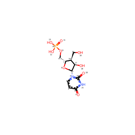 O=c1ccn([C@@H]2O[C@H](COP(=O)(O)O)[C@@H](CO)[C@H]2O)c(=O)[nH]1